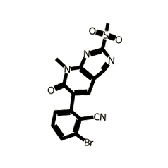 Cn1c(=O)c(-c2cccc(Br)c2C#N)cc2cnc(S(C)(=O)=O)nc21